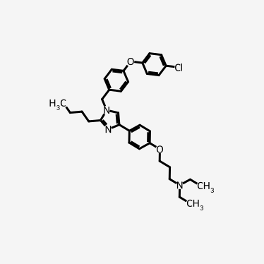 CCCCc1nc(-c2ccc(OCCCN(CC)CC)cc2)cn1Cc1ccc(Oc2ccc(Cl)cc2)cc1